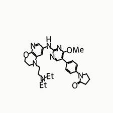 CCN(CC)CCN1CCOc2ncc(Nc3ncc(-c4ccc(N5CCCC5=O)cc4)c(OC)n3)cc21